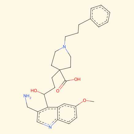 COc1ccc2ncc(CN)c(C(O)CCC3(C(=O)O)CCN(CCCc4ccccc4)CC3)c2c1